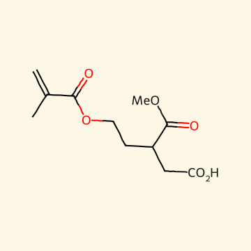 C=C(C)C(=O)OCCC(CC(=O)O)C(=O)OC